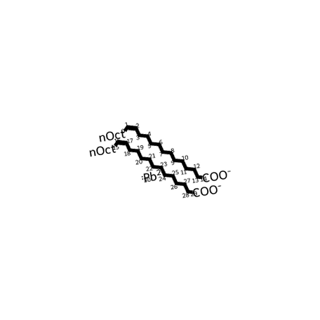 CCCCCCCC/C=C\CCCCCCCCCCCC(=O)[O-].CCCCCCCC/C=C\CCCCCCCCCCCC(=O)[O-].[Pb+2]